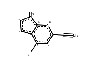 N#Cc1cc(I)c2cc[nH]c2n1